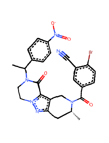 CC(c1ccc([N+](=O)[O-])cc1)N1CCn2nc3c(c2C1=O)CN(C(=O)c1ccc(Br)c(C#N)c1)[C@H](C)C3